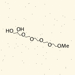 COCCOCCOCCOCCOCC(O)CO